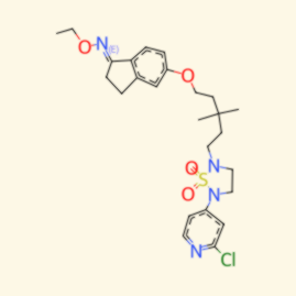 CCO/N=C1\CCc2cc(OCCC(C)(C)CCN3CCN(c4ccnc(Cl)c4)S3(=O)=O)ccc21